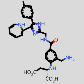 Cc1ccc(-c2[nH]c(CNC(=O)c3ccc(N[C@@H](CC(=O)O)C(=O)O)c(CN)c3)nc2C2=CC=CC=CN2)cc1